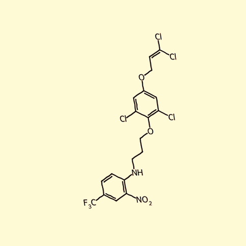 O=[N+]([O-])c1cc(C(F)(F)F)ccc1NCCCOc1c(Cl)cc(OCC=C(Cl)Cl)cc1Cl